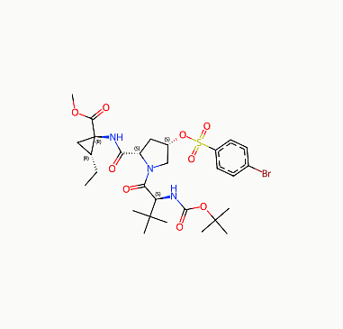 CC[C@@H]1C[C@]1(NC(=O)[C@@H]1C[C@H](OS(=O)(=O)c2ccc(Br)cc2)CN1C(=O)[C@@H](NC(=O)OC(C)(C)C)C(C)(C)C)C(=O)OC